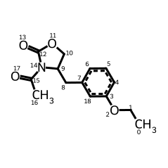 CCOc1cccc(CC2COC(=O)N2C(C)=O)c1